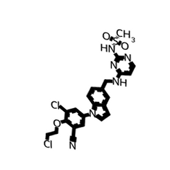 CS(=O)(=O)Nc1nccc(NCc2ccc3c(ccn3-c3cc(Cl)c(OCCCl)c(C#N)c3)c2)n1